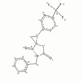 O=C1CC2(CC2c2ccc(C(F)(F)F)nc2)C(=O)N1Cc1ccccc1